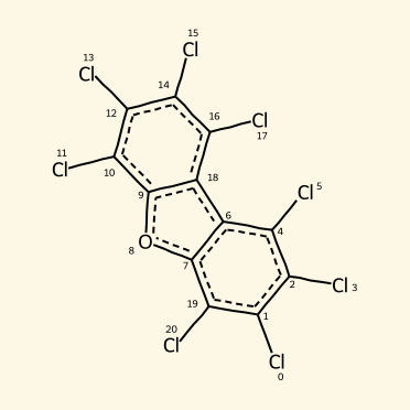 Clc1c(Cl)c(Cl)c2c(oc3c(Cl)c(Cl)c(Cl)c(Cl)c32)c1Cl